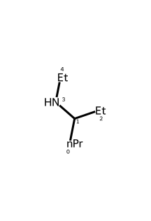 CCCC(CC)NCC